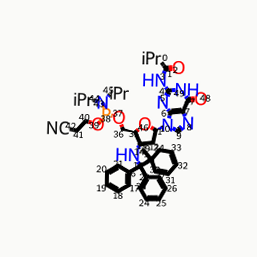 CC(C)C(=O)Nc1nc2c(ncn2[C@H]2CC(NC(c3ccccc3)(c3ccccc3)C3(C)C=CC=CC3)[C@@H](COP(OCCC#N)N(C(C)C)C(C)C)O2)c(=O)[nH]1